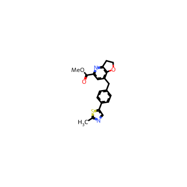 COC(=O)c1cc(Cc2ccc(-c3cnc(C)s3)cc2)c2c(n1)CCO2